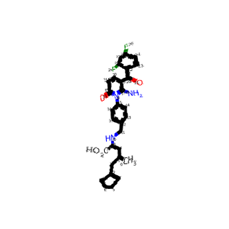 CC(CC1CCCC1)CC(NCc1ccc(-n2c(N)c(C(=O)c3ccc(F)cc3F)ccc2=O)cc1)C(=O)O